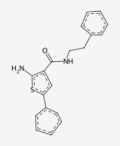 Nc1sc(-c2ccccc2)cc1C(=O)NCCc1ccccc1